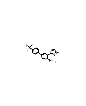 Cn1ccc(-c2cc(-c3ccc(C(F)(F)F)cc3)ccc2N)n1